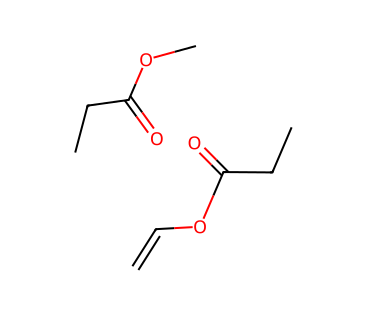 C=COC(=O)CC.CCC(=O)OC